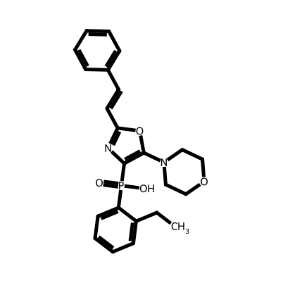 CCc1ccccc1P(=O)(O)c1nc(C=Cc2ccccc2)oc1N1CCOCC1